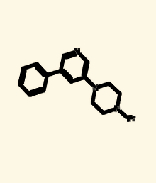 CC(C)N1CCN(c2cncc(-c3ccccc3)c2)CC1